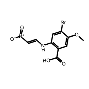 COc1cc(C(=O)O)c(NC=C[N+](=O)[O-])cc1Br